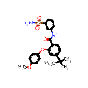 COc1ccc(Oc2cc(C(C)(C)C)ccc2C(=O)Nc2cccc(S(N)(=O)=O)c2)cc1